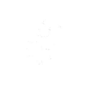 Cc1cccc(-n2nnn(C)c2=O)c1CI